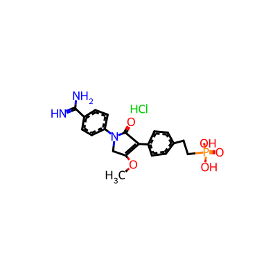 COC1=C(c2ccc(CCP(=O)(O)O)cc2)C(=O)N(c2ccc(C(=N)N)cc2)C1.Cl